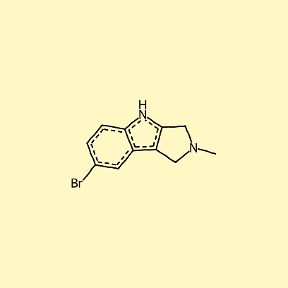 CN1Cc2[nH]c3ccc(Br)cc3c2C1